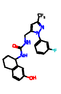 O=C(NCc1cc(C(F)(F)F)nn1-c1cccc(F)c1)NC1CCCc2ccc(O)cc21